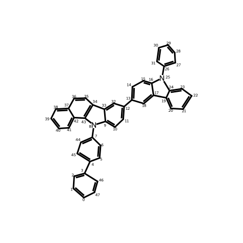 c1ccc(-c2ccc(-n3c4ccc(-c5ccc6c(c5)c5ccccc5n6-c5ccccc5)cc4c4ccc5ccccc5c43)cc2)cc1